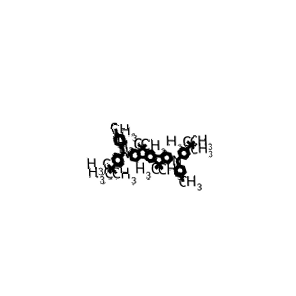 Cc1ccc(N(c2ccc(C(C)(C)C)cc2)c2ccc3c(c2)C(C)(C)c2cc4c(cc2-3)C(C)(C)c2cc(N(c3ccc(C)cc3)c3ccc(C(C)(C)C)cc3)ccc2-4)cc1